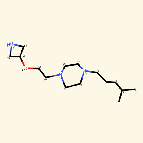 CC(C)CCCN1CCN(CCOC2CNC2)CC1